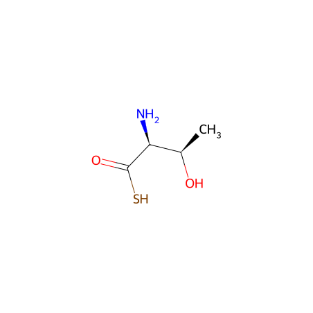 C[C@@H](O)[C@H](N)C(=O)S